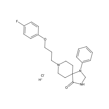 O=C1NCN(c2ccccc2)C12CCN(CCCOc1ccc(F)cc1)CC2.[Cl-].[H+]